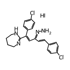 I.NN=C(C=Cc1ccc(Cl)cc1)C=C(C1=NCCCCN1)c1ccc(Cl)cc1